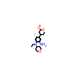 CCC(CC(=O)OC)c1cc(N)c(N(CC)C2CCOCC2)cc1F